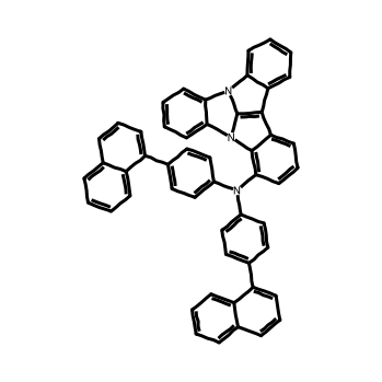 c1ccc2c(-c3ccc(N(c4ccc(-c5cccc6ccccc56)cc4)c4cccc5c6c7ccccc7n7c8ccccc8n(c45)c67)cc3)cccc2c1